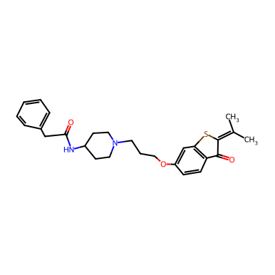 CC(C)=C1Sc2cc(OCCCN3CCC(NC(=O)Cc4ccccc4)CC3)ccc2C1=O